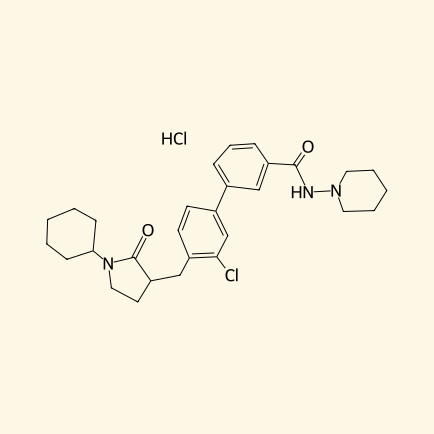 Cl.O=C(NN1CCCCC1)c1cccc(-c2ccc(CC3CCN(C4CCCCC4)C3=O)c(Cl)c2)c1